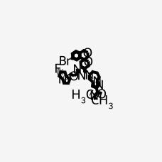 CN(C)C(=O)c1cc2n(n1)CCCN(c1nc(OC[C@@]34CCCN3C[C@H](F)C4)nc3c1COC1(COCc4ccc(Br)cc41)C3)C2